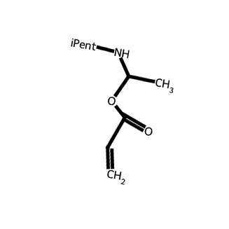 C=CC(=O)OC(C)NC(C)CCC